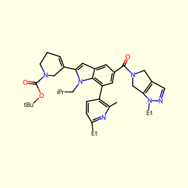 CCc1ccc(-c2cc(C(=O)N3Cc4cnn(CC)c4C3)cc3cc(C4=CCCN(C(=O)OC(C)(C)C)C4)n(CC(C)C)c23)c(C)n1